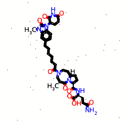 C[C@H]1CN(C(=O)CCCCCCc2ccc3c(c2)n(C)c(=O)n3C2CCC(=O)NC2=O)CC[C@H]2CC[C@@H](C(=O)N[C@@H](CCC(N)=O)C(=O)O)N2C1=O